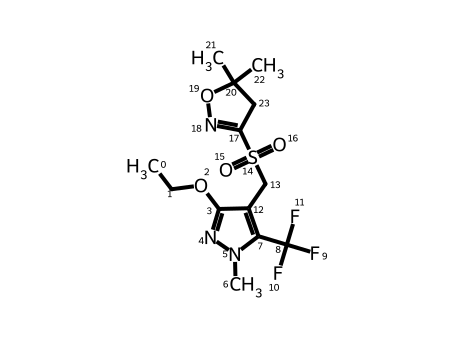 CCOc1nn(C)c(C(F)(F)F)c1CS(=O)(=O)C1=NOC(C)(C)C1